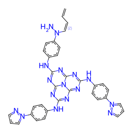 C=C/C=C\N(N)c1ccc(NC2=NC3=NC(Nc4ccc(-n5cccn5)cc4)=NC4=NC(Nc5ccc(-n6cccn6)cc5)=NC(=N2)N34)cc1